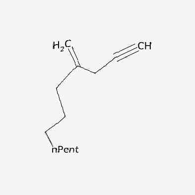 C#CCC(=C)CCCCCCCC